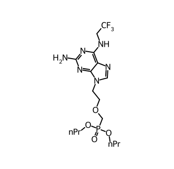 CCCOP(=O)(COCCn1cnc2c(NCC(F)(F)F)nc(N)nc21)OCCC